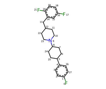 Fc1ccc(C2CCC(N3CCC(Cc4cc(F)ccc4F)CC3)CC2)cc1